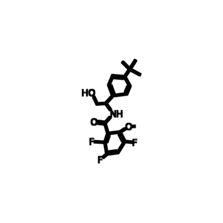 COc1c(F)cc(F)c(F)c1C(=O)NC(CO)c1ccc(C(C)(C)C)cc1